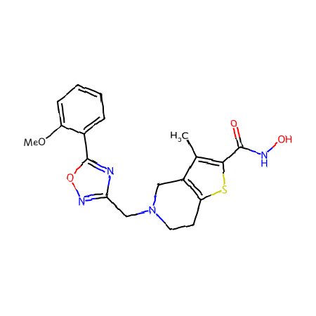 COc1ccccc1-c1nc(CN2CCc3sc(C(=O)NO)c(C)c3C2)no1